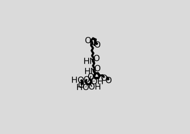 O=COCc1ccc(O[C@@H]2O[C@H](C(=O)O)[C@@H](O)[C@H](O)[C@H]2O)c(NC(=O)CCNC(=O)CCCCCN2C(=O)C=CC2=O)c1